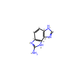 Nc1nc2ccc3[nH]cnc3c2[nH]1